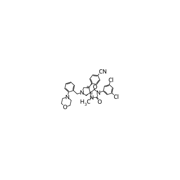 CN1C(=O)N(c2cc(Cl)cc(Cl)c2)C(=O)[C@]12CN(Cc1ccccc1N1CCOCC1)C[C@H]2c1ccc(C#N)cc1